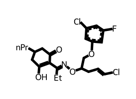 CCCC1CC(=O)C(C(CC)=NOC(CC=CCl)COc2cc(F)cc(Cl)c2)=C(O)C1